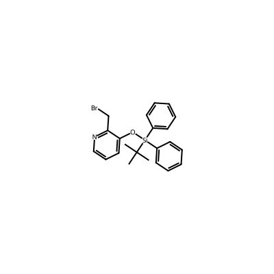 CC(C)(C)[Si](Oc1cccnc1CBr)(c1ccccc1)c1ccccc1